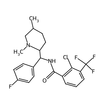 CC1CCC(C(NC(=O)c2cccc(C(F)(F)F)c2Cl)c2ccc(F)cc2)N(C)C1